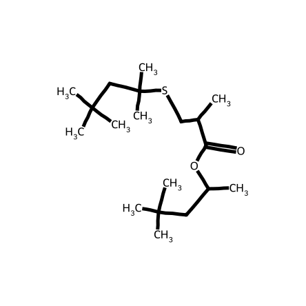 CC(CC(C)(C)C)OC(=O)C(C)CSC(C)(C)CC(C)(C)C